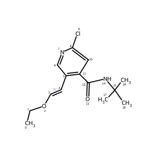 CCO/C=C/c1cnc(Cl)cc1C(=O)NC(C)(C)C